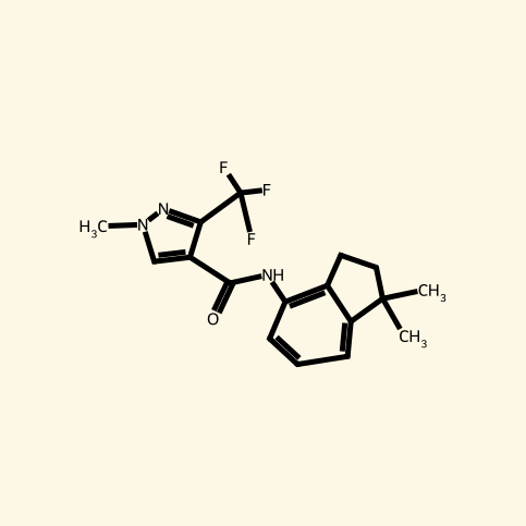 Cn1cc(C(=O)Nc2cccc3c2CCC3(C)C)c(C(F)(F)F)n1